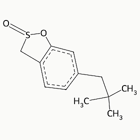 CC(C)(C)Cc1ccc2c(c1)OS(=O)C2